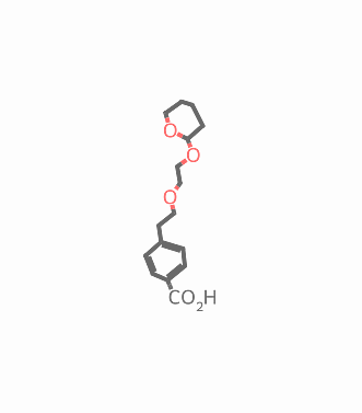 O=C(O)c1ccc(CCOCCOC2CCCCO2)cc1